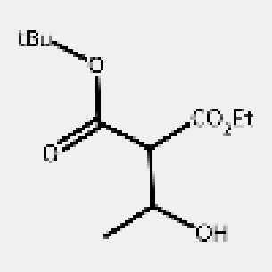 CCOC(=O)C(C(=O)OC(C)(C)C)C(C)O